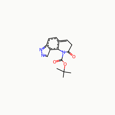 CC(C)(C)OC(=O)N1C(=O)CC=c2ccc3c(c21)C=NN=3